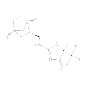 CC1(C(F)(F)F)SC(NC[C@H]2C[C@@H]3CC[C@H]2C3)=NC1=O